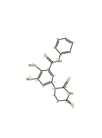 COc1c(C(=O)Nc2ccccc2)cc(N2CCC(=O)NC2=O)cc1C(C)(C)C